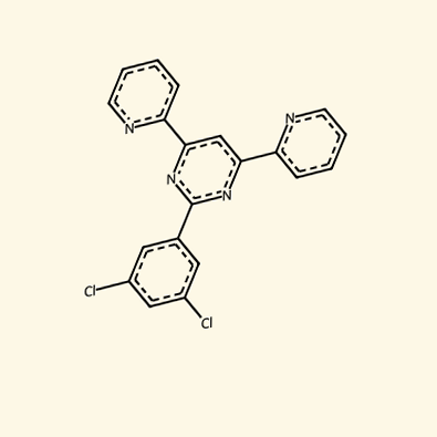 Clc1cc(Cl)cc(-c2nc(-c3ccccn3)cc(-c3ccccn3)n2)c1